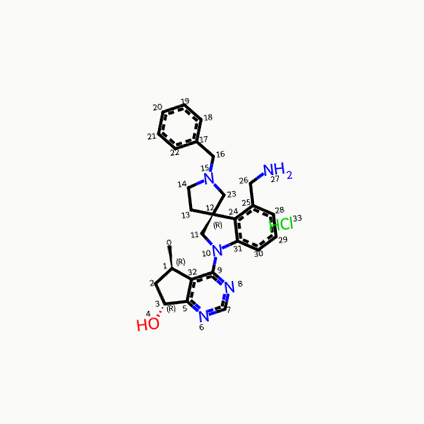 C[C@@H]1C[C@@H](O)c2ncnc(N3C[C@]4(CCN(Cc5ccccc5)C4)c4c(CN)cccc43)c21.Cl